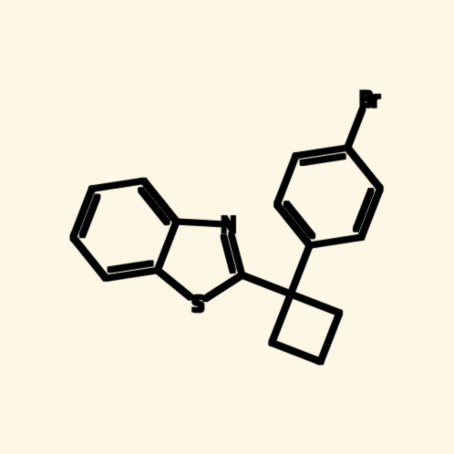 Brc1ccc(C2(c3nc4ccccc4s3)CCC2)cc1